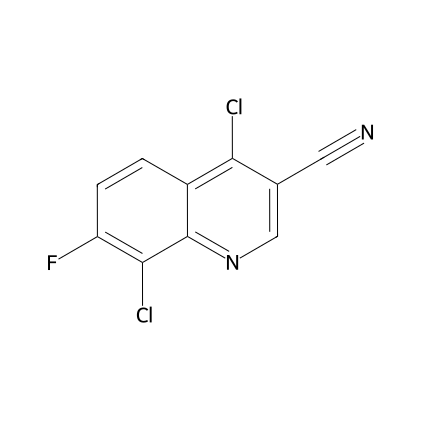 N#Cc1cnc2c(Cl)c(F)ccc2c1Cl